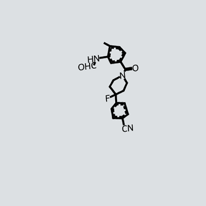 Cc1ccc(C(=O)N2CCC(F)(c3ccc(C#N)cc3)CC2)cc1NC=O